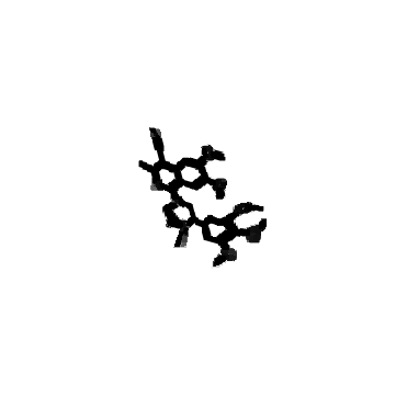 COc1cc2c(N3CCNC(c4cc(OC)c(OC)c(OC)c4)C3)nc(C)c(C#N)c2cc1OC